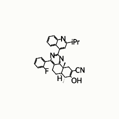 CC(C)c1cc(-c2nc(-c3ccccc3F)c3c(n2)[C@]2(C)CC(C#N)=C(O)[C@H](C)[C@H]2CC3)c2ccccc2n1